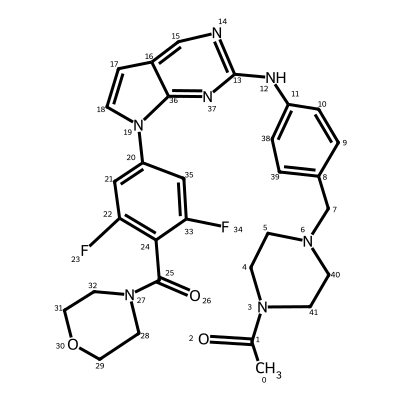 CC(=O)N1CCN(Cc2ccc(Nc3ncc4ccn(-c5cc(F)c(C(=O)N6CCOCC6)c(F)c5)c4n3)cc2)CC1